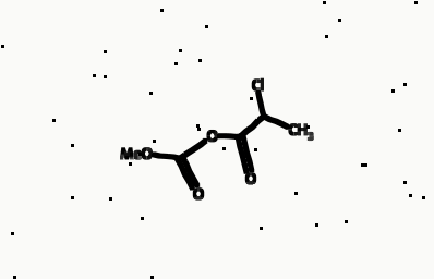 COC(=O)OC(=O)C(C)Cl